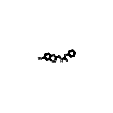 CC(C)(C)c1ccc(OC(=O)[N]NC(=O)Oc2ccccc2)c(C(C)(C)C)c1